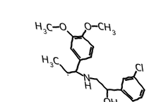 C[CH]C(NCC(O)c1cccc(Cl)c1)c1ccc(OC)c(OC)c1